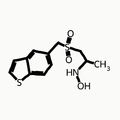 CC(CS(=O)(=O)Cc1ccc2sccc2c1)NO